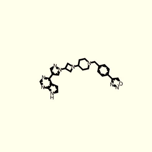 c1nc(-c2cnn(C3CN(C4CCN(Cc5ccc(-c6conn6)cc5)CC4)C3)c2)c2cc[nH]c2n1